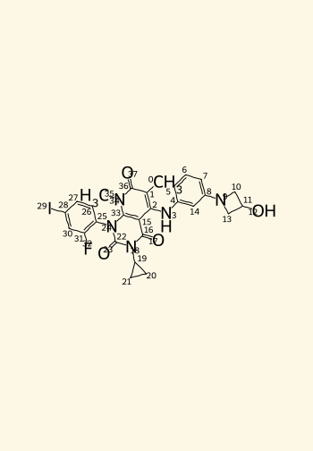 Cc1c(Nc2cccc(N3CC(O)C3)c2)c2c(=O)n(C3CC3)c(=O)n(-c3ccc(I)cc3F)c2n(C)c1=O